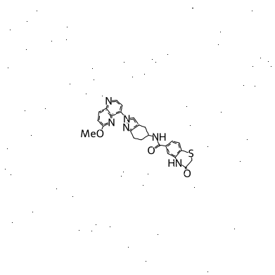 COc1ccc2nccc(-n3cc4c(n3)CCC(NC(=O)c3ccc5c(c3)NC(=O)CS5)C4)c2n1